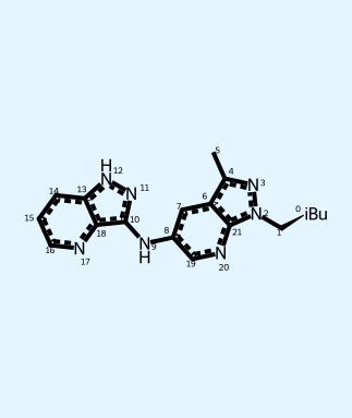 CC[C@H](C)Cn1nc(C)c2cc(Nc3n[nH]c4cccnc34)cnc21